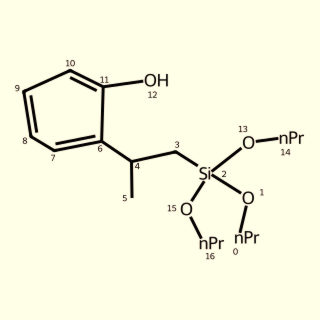 CCCO[Si](CC(C)c1ccccc1O)(OCCC)OCCC